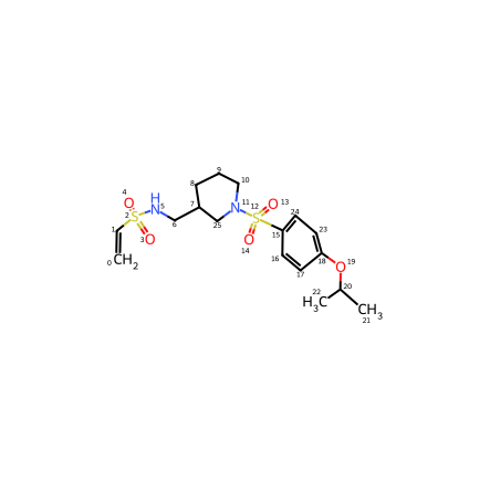 C=CS(=O)(=O)NCC1CCCN(S(=O)(=O)c2ccc(OC(C)C)cc2)C1